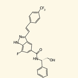 O=C(N[C@H](CO)c1ccccc1)c1cc(F)c2[nH]nc(/C=C/c3ccc(C(F)(F)F)cc3)c2c1